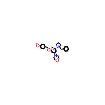 COc1ccc(COc2cc(N3CCOCC3)cc(N3CCCC3Cc3ccccc3)n2)cc1